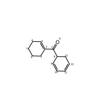 O=C(C1=CCCCC1)C1C=CC=CC1